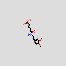 COc1ccc(CCNC(=O)CCCCC(=O)O)c(F)c1OC